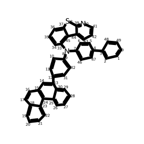 c1ccc(-c2ccc(N(c3ccc(-c4cc5ccc6ccccc6c5c5ccccc45)cc3)c3cccc4sc5ncccc5c34)cc2)cc1